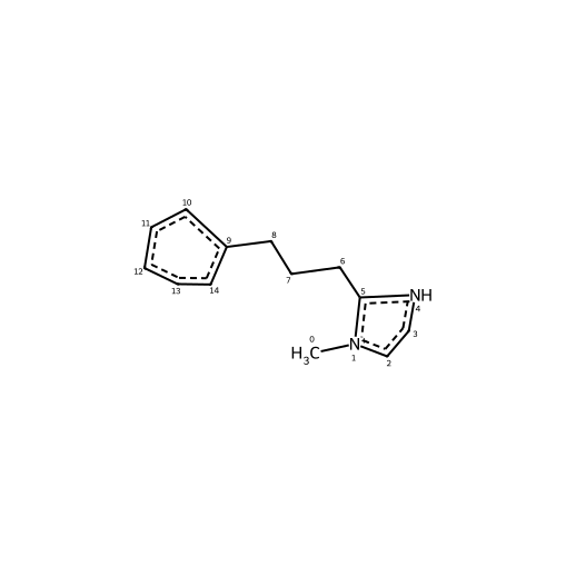 C[n+]1cc[nH]c1CCCc1ccccc1